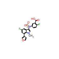 Cn1cc(N(c2ccc(F)c(C(=O)O)c2)[SH](=O)=O)c2cc(F)cc(-c3ccoc3)c21